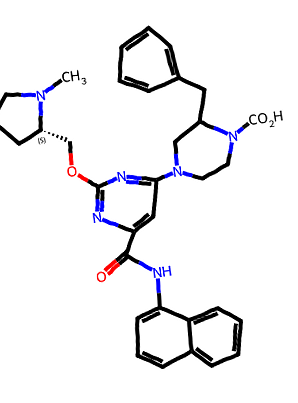 CN1CCC[C@H]1COc1nc(C(=O)Nc2cccc3ccccc23)cc(N2CCN(C(=O)O)C(Cc3ccccc3)C2)n1